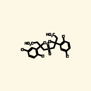 O=C(O)CC(Cl)(CS(=O)(=O)CC(Cl)(CC(=O)O)c1cc(Cl)ccc1Cl)c1cc(Cl)ccc1Cl